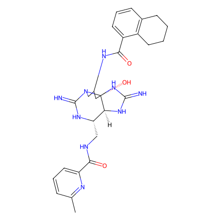 Cc1cccc(C(=O)NC[C@@H]2NC(=N)N3CC(NC(=O)c4cccc5c4CCCC5)[C@@H](O)C34NC(=N)N[C@@H]24)n1